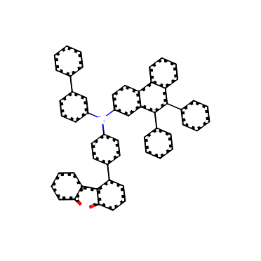 c1ccc(-c2cccc(N(c3ccc(-c4cccc5oc6ccccc6c45)cc3)c3ccc4c(c3)c(-c3ccccc3)c(-c3ccccc3)c3ccccc34)c2)cc1